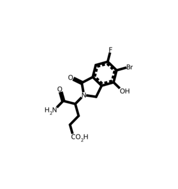 NC(=O)C(CCC(=O)O)N1Cc2c(cc(F)c(Br)c2O)C1=O